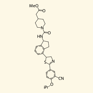 COC(=O)CC1CCN(C(=O)NC2CCc3c2cccc3C2CN=C(c3ccc(OC(C)C)c(C#N)c3)S2)CC1